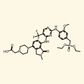 CCOP(=O)(Cc1ccc(Nc2ncc(C(F)(F)F)c(Nc3ccc(N4CCN(CC(=O)O)CC4)c4c3C(=O)N(C)C4)n2)c(OC)c1)OCC